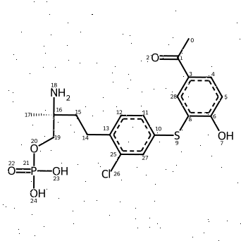 CC(=O)c1ccc(O)c(Sc2ccc(CC[C@](C)(N)COP(=O)(O)O)c(Cl)c2)c1